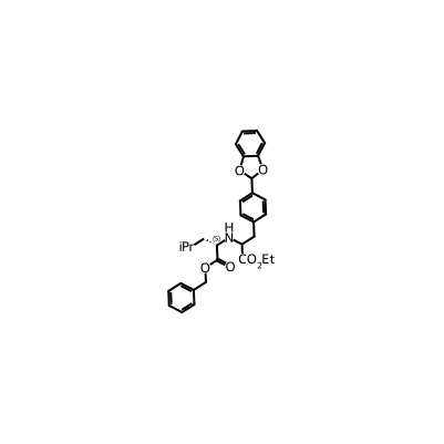 CCOC(=O)C(Cc1ccc(C2Oc3ccccc3O2)cc1)N[C@@H](CC(C)C)C(=O)OCc1ccccc1